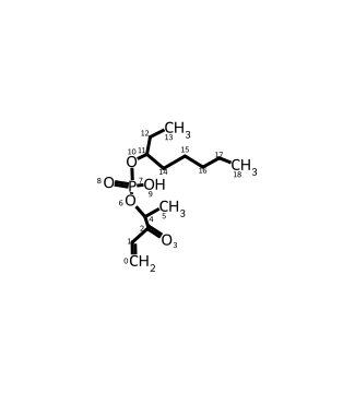 C=CC(=O)C(C)OP(=O)(O)OC(CC)CCCCC